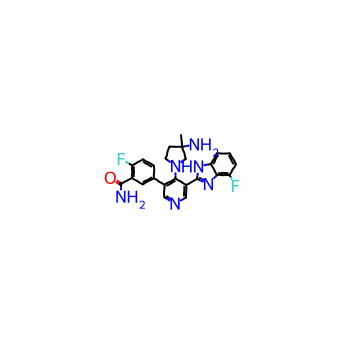 CC1(N)CCN(c2c(-c3ccc(F)c(C(N)=O)c3)cncc2-c2nc3c(F)cccc3[nH]2)C1